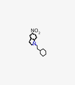 O=[N+]([O-])c1ccc2c(ccn2CCC2CCCCC2)c1